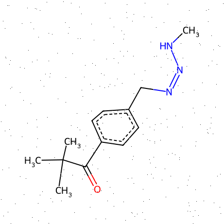 CN/N=N\Cc1ccc(C(=O)C(C)(C)C)cc1